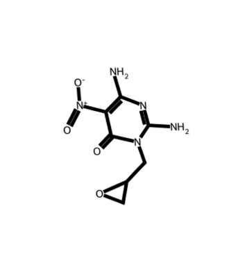 Nc1nc(N)n(CC2CO2)c(=O)c1[N+](=O)[O-]